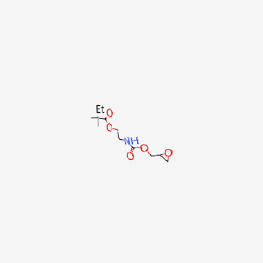 CCC(C)(C)C(=O)OCCNC(=O)OCC1CO1